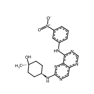 C[C@]1(O)CC[C@@H](Nc2ncc3ncnc(Nc4cccc([N+](=O)[O-])c4)c3n2)CC1